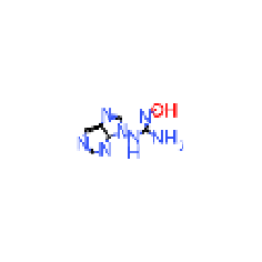 NC(=NO)Nn1cnc2cncnc21